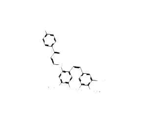 COc1cc(N/C=C\C(=O)c2ccc(C(F)(F)F)cc2)c(/C=C\c2cc(OC)c(OC)c(OC)c2)cc1O